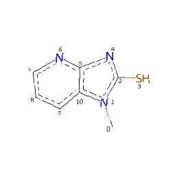 Cn1c(S)nc2ncccc21